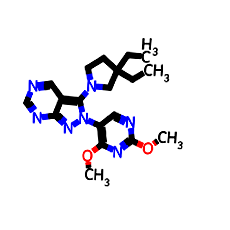 CCC1(CC)CCN(c2c3cncnc3nn2-c2cnc(OC)nc2OC)C1